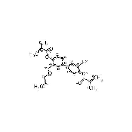 C=C(C)C(=O)Oc1ccc(-c2ccc(OC(=O)C(=C)C)c(COCCC)c2)cc1F